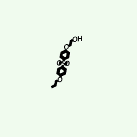 CCCOc1ccc(S(=O)(=O)c2ccc(OCCO)cc2)cc1